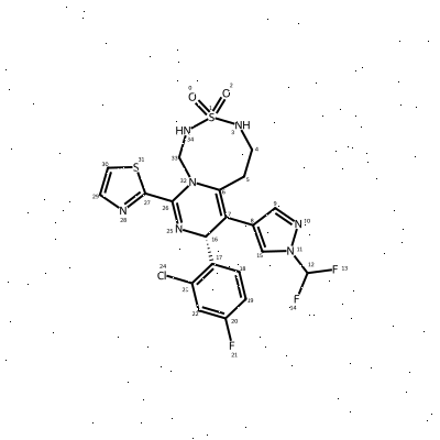 O=S1(=O)NCCC2=C(c3cnn(C(F)F)c3)[C@H](c3ccc(F)cc3Cl)N=C(c3nccs3)N2CN1